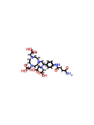 NC(=O)CCC(=O)Nc1ccc(C(CN2CCN(CC(=O)O)CCN(CC(=O)O)CC2)N(CC(=O)O)CC(=O)O)cc1